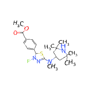 COC(=O)c1ccc(C2SC(N(C)C3CC(C)(C)NC(C)(C)C3)=NN2F)cc1